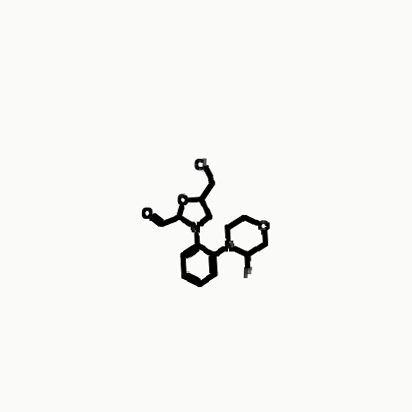 O=CC1OC(CCl)CN1c1ccccc1N1CCOCC1F